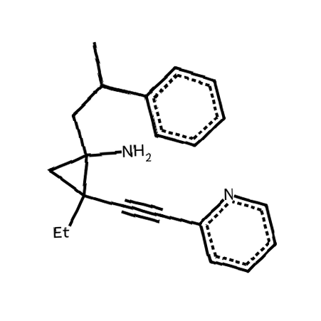 CCC1(C#Cc2ccccn2)CC1(N)CC(C)c1ccccc1